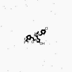 Cc1nnc(C2CC(O)CN2C(=O)Cc2cccc(C(F)(F)F)c2)n1Cc1ccc(Cl)cc1